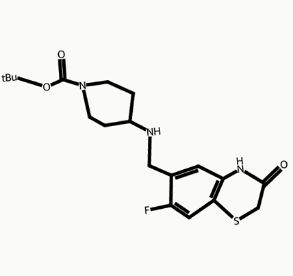 CC(C)(C)OC(=O)N1CCC(NCc2cc3c(cc2F)SCC(=O)N3)CC1